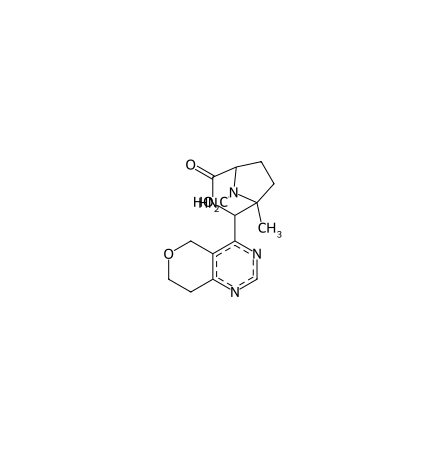 CC12CCC(C(=O)NC1c1ncnc3c1COCC3)N2C(=O)O